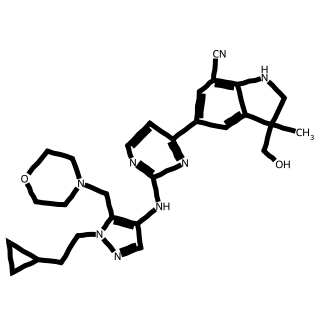 CC1(CO)CNc2c(C#N)cc(-c3ccnc(Nc4cnn(CCC5CC5)c4CN4CCOCC4)n3)cc21